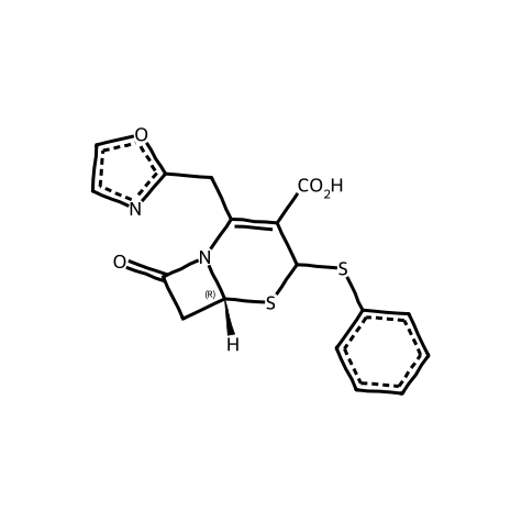 O=C(O)C1=C(Cc2ncco2)N2C(=O)C[C@H]2SC1Sc1ccccc1